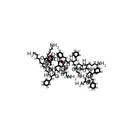 CC(C)NC(CCCCN)C(=O)NC(CCCCN)CN(CC(=O)NC(Cc1ccccc1)C(=O)NC(Cc1ccccc1)CN(CC(=O)NC(Cc1ccccc1)C(=O)NC(Cc1ccccc1)CN(CC(=O)NC(CCCCN)C(=O)NC(Cc1ccccc1)CN(CC(N)=O)S(=O)(=O)Cc1ccccc1)S(=O)(=O)CCN)S(=O)(=O)CCN)S(=O)(=O)Cc1ccccc1